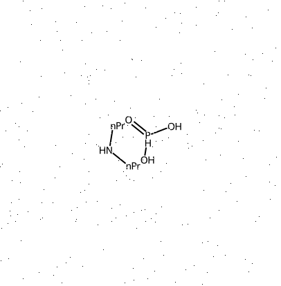 CCCNCCC.O=[PH](O)O